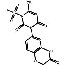 CS(=O)(=O)n1c(C(F)(F)F)cc(=O)n(-c2ccc3c(n2)NC(=O)CO3)c1=O